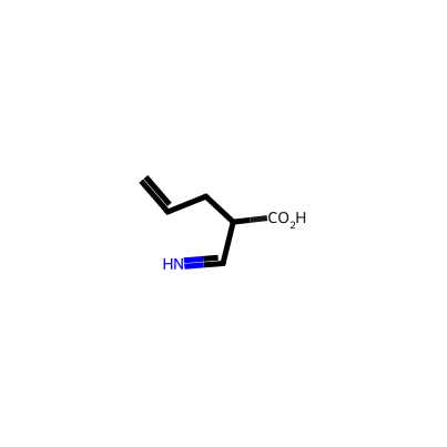 C=CCC(C=N)C(=O)O